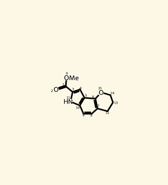 COC(=O)c1cc2c3c(ccc2[nH]1)CCCO3